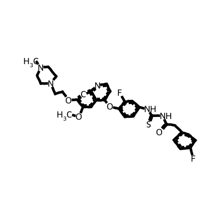 COc1cc2c(Oc3ccc(NC(=S)NC(=O)Cc4ccc(F)cc4)cc3F)ccnc2cc1OCCN1CCN(C)CC1